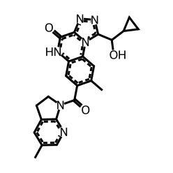 Cc1cnc2c(c1)CCN2C(=O)c1cc2[nH]c(=O)c3nnc(C(O)C4CC4)n3c2cc1C